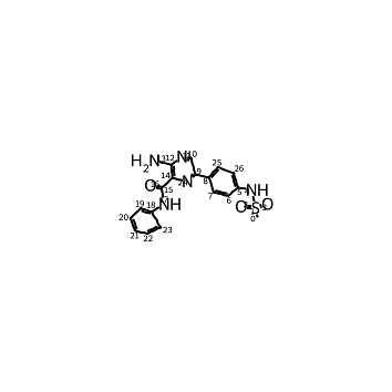 CS(=O)(=O)Nc1ccc(-c2cnc(N)c(C(=O)Nc3ccccc3)n2)cc1